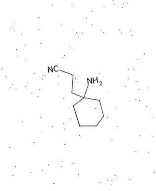 N#CCCC1(N)CCCCC1